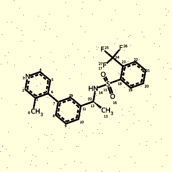 Cc1cnccc1-c1cccc([C@H](C)NS(=O)(=O)c2ccccc2C(F)(F)F)c1